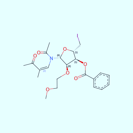 COCCO[C@@H]1[C@H](OC(=O)c2ccccc2)[C@@H](CI)O[C@H]1N(/C=C(/C)C(C)=O)C(C)=O